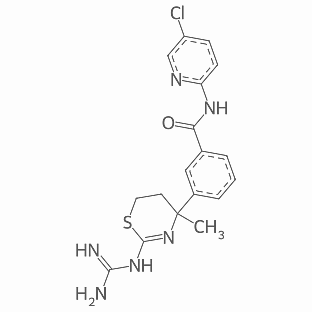 CC1(c2cccc(C(=O)Nc3ccc(Cl)cn3)c2)CCSC(NC(=N)N)=N1